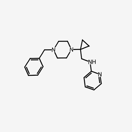 c1ccc(CN2CCN(C3(CNc4ccccn4)CC3)CC2)cc1